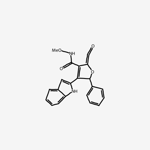 CONC(=O)C1=C(c2cc3ccccc3[nH]2)C(c2ccccc2)OC1=C=O